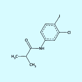 CC(C)C(=O)Nc1ccc(I)c(Cl)c1